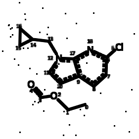 CCOC=O.Clc1ccc2ccn(CC3CC3)c2n1